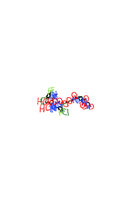 Cc1nc([C@@H]2O[C@H](CO)[C@H](O)[C@H](n3cc(-c4cc(F)c(Cl)c(F)c4)nn3)[C@H]2OCC(=O)NCCOCCOCCNC(=O)c2ccc3c(c2)C(=O)N(C2CCC(=O)N(C)C2=O)C3=O)n(-c2cc(Cl)ccc2C(F)(F)F)n1